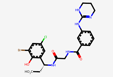 O=C(O)C[C@@H](NC(=O)CNC(=O)c1cccc(NC2=NCCCN2)c1)c1cc(Cl)cc(Br)c1O